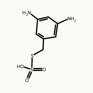 Nc1cc(N)cc(CSS(=O)(=O)O)c1